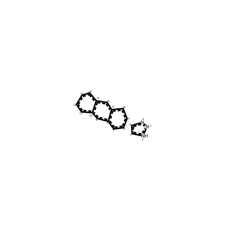 c1c[nH]nn1.c1ccc2cc3ccccc3cc2c1